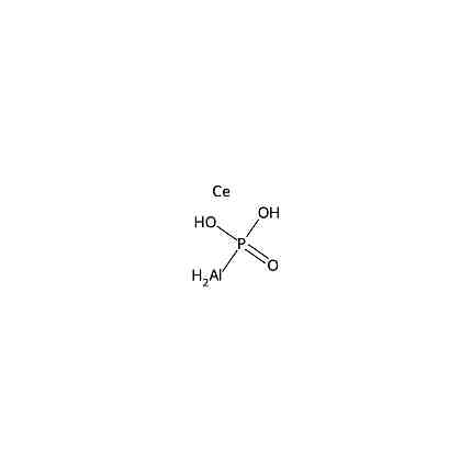 O=[P](O)(O)[AlH2].[Ce]